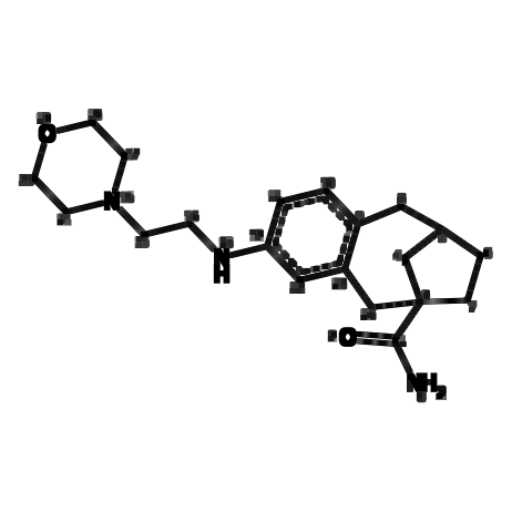 NC(=O)C12[CH]C(CC1)Cc1ccc(NCCN3CCOCC3)cc1C2